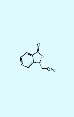 CC(=O)OC[C]1OC(=O)c2ccccc21